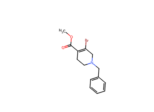 COC(=O)C1=C(Br)CN(Cc2ccccc2)CC1